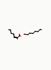 CCCCC=C(C)C(=O)OCCCCCCCC